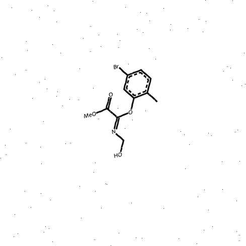 COC(=O)/C(=N/CO)Oc1cc(Br)ccc1C